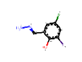 NN=Cc1cc(Br)cc(I)c1O